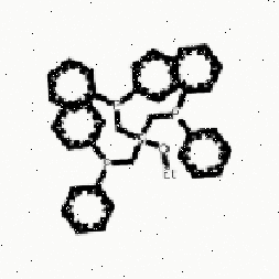 CCO[Si](CP(c1ccccc1)c1ccccc1)(CP(c1ccccc1)c1ccccc1)CP(c1ccccc1)c1ccccc1